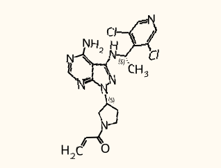 C=CC(=O)N1CC[C@H](n2nc(N[C@@H](C)c3c(Cl)cncc3Cl)c3c(N)ncnc32)C1